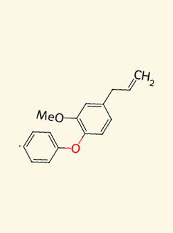 C=CCc1ccc(Oc2cc[c]cc2)c(OC)c1